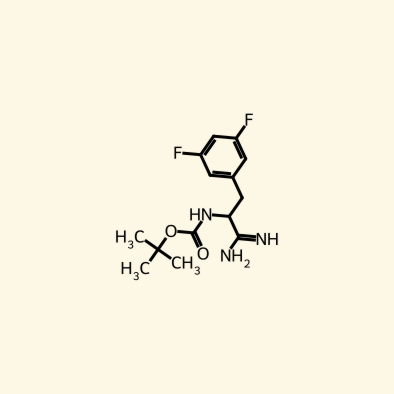 CC(C)(C)OC(=O)NC(Cc1cc(F)cc(F)c1)C(=N)N